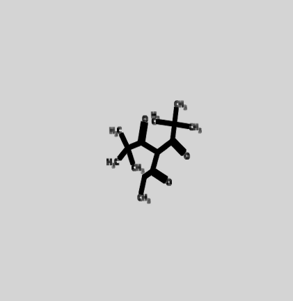 CCC(=O)C(C(=O)C(C)(C)C)C(=O)C(C)(C)C